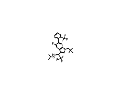 CC(C)SNC(c1cn(CC(C)(C)C)c2cc(-c3ccccc3C(F)(F)F)c(F)cc12)C(F)(F)F